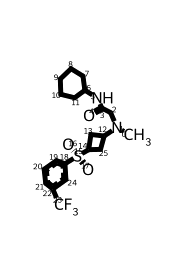 CN(CC(=O)NC1CCCCC1)C1CC(S(=O)(=O)c2cccc(C(F)(F)F)c2)C1